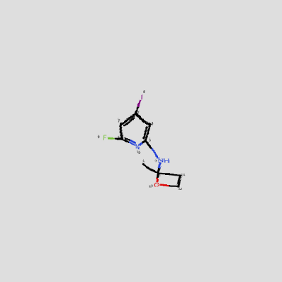 CC1(Nc2cc(I)cc(F)n2)CCO1